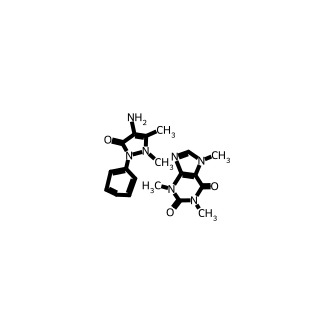 Cc1c(N)c(=O)n(-c2ccccc2)n1C.Cn1c(=O)c2c(ncn2C)n(C)c1=O